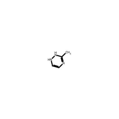 CC1=NC=[C]NN1